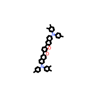 Cc1ccc(N(c2ccc(C)c(C)c2)c2ccc3cc4c(cc3c2)oc2c4ccc3c4cc5ccc(N(c6ccc(C)cc6)c6ccc(C)c(C)c6)cc5cc4oc32)cc1